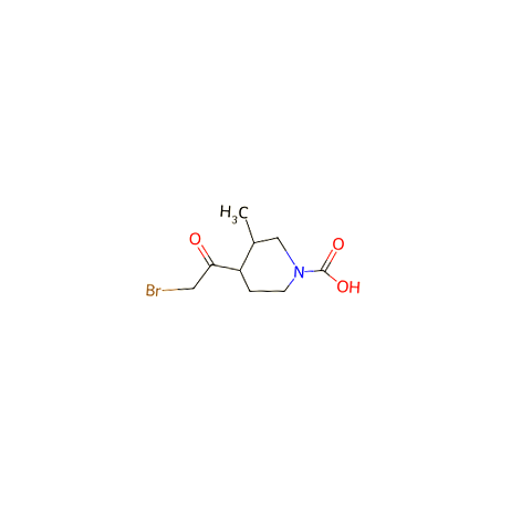 CC1CN(C(=O)O)CCC1C(=O)CBr